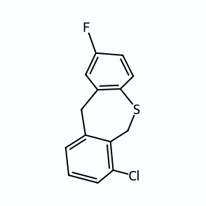 Fc1ccc2c(c1)Cc1cccc(Cl)c1CS2